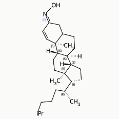 CC(C)CCC[C@@H](C)[C@H]1CC[C@H]2[C@@H]3CCC4C/C(=N\O)C=C[C@]4(C)[C@H]3CC[C@]12C